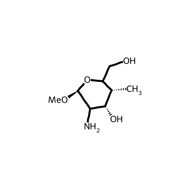 CO[C@H]1OC(CO)[C@H](C)[C@H](O)C1N